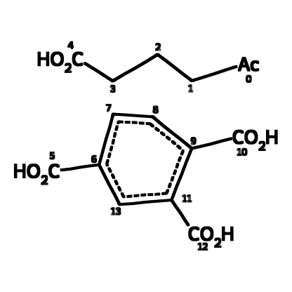 CC(=O)CCCC(=O)O.O=C(O)c1ccc(C(=O)O)c(C(=O)O)c1